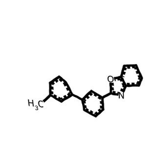 Cc1cccc(-c2cccc(-c3nc4ccccc4o3)c2)c1